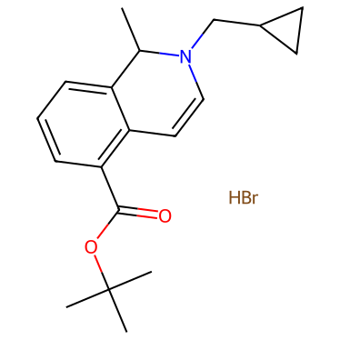 Br.CC1c2cccc(C(=O)OC(C)(C)C)c2C=CN1CC1CC1